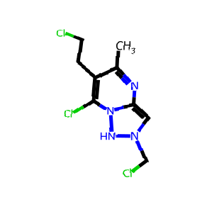 CC1=NC2=CN(CCl)NN2C(Cl)=C1CCCl